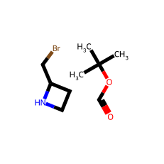 BrCC1CCN1.CC(C)(C)OC=O